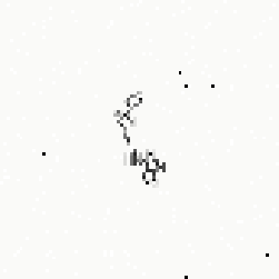 C(#Cc1csc(-c2ccsc2)n1)CCNc1ncnc2sccc12